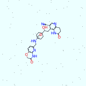 N#Cc1cnc2c(c1CC(O)C13CCC(NCc4ccc5c(n4)NC(=O)CO5)(CC1)CO3)NC(=O)CC2